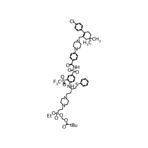 CCOP(=O)(CCN1CCN(CC[C@H](CSc2ccccc2)Nc2ccc(S(=O)(=O)NC(=O)c3ccc(N4CCN(CC5=C(c6ccc(Cl)cc6)CCC(C)(C)C5)CC4)cc3)cc2S(=O)(=O)C(F)(F)F)CC1)OCOC(=O)C(C)(C)C